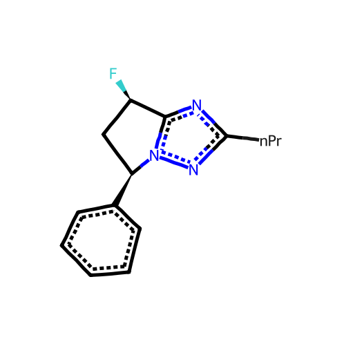 CCCc1nc2n(n1)[C@@H](c1ccccc1)C[C@H]2F